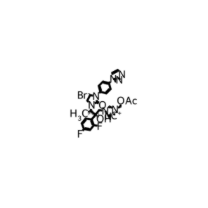 CC(=O)OCN1[C+]=NN(C[C@@](O)(c2ccc(F)cc2F)[C@@H](C)N2CCN(c3ccc(-n4ccnn4)cc3)C2=O)C1.[Br-]